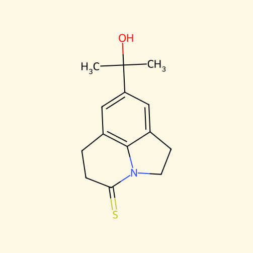 CC(C)(O)c1cc2c3c(c1)CCN3C(=S)CC2